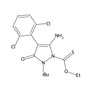 CCOC(=S)n1c(N)c(-c2c(Cl)cccc2Cl)c(=O)n1C(C)CC